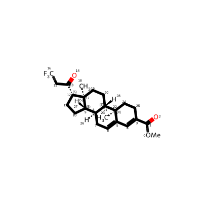 COC(=O)C1=CC2=CC[C@H]3[C@@H]4CC[C@H](C(=O)CC(F)(F)F)[C@@]4(C)CC[C@@H]3[C@@]2(C)CC1